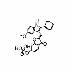 COc1ccc2[nH]c(-c3ccccc3)c(C=C3Oc4cc(OP(=O)(O)O)ccc4C3=O)c2c1